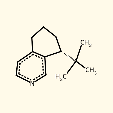 CC(C)(C)[C@H]1CCCc2ccncc21